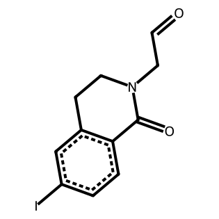 O=CCN1CCc2cc(I)ccc2C1=O